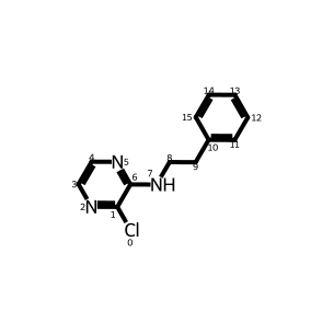 Clc1nccnc1NCCc1ccccc1